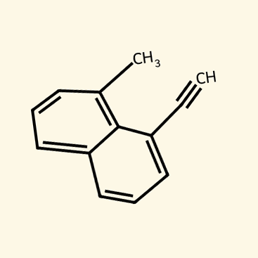 C#Cc1cccc2cccc(C)c12